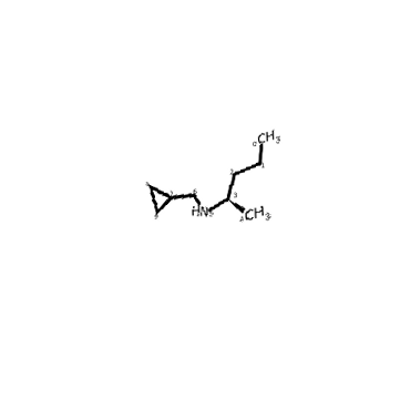 CCC[C@@H](C)NCC1CC1